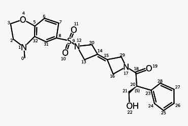 CN1CCOc2ccc(S(=O)(=O)N3CC(=C4CN(C(=O)[C@H](CO)c5ccccc5)C4)C3)cc21